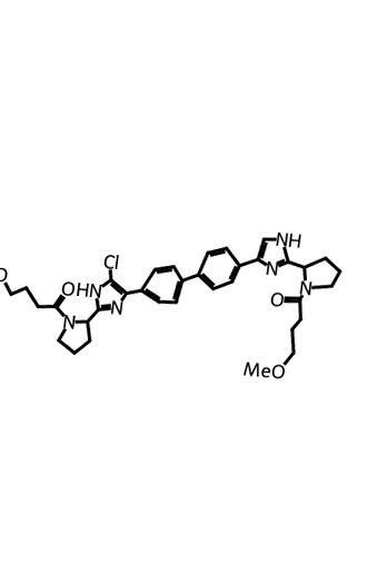 COCCCC(=O)N1CCCC1c1nc(-c2ccc(-c3ccc(-c4nc(C5CCCN5C(=O)CCCOC)[nH]c4Cl)cc3)cc2)c[nH]1